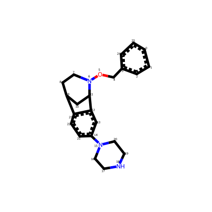 c1ccc(CON2CCC3CC2c2cc(N4CCNCC4)ccc23)cc1